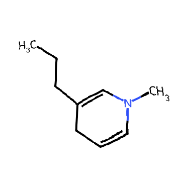 CCCC1=CN(C)C=CC1